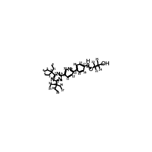 CCC(CC)(CC)c1nc(-c2ccc(-c3ccc(BOC(C)(C)C(C)(C)O)cc3)nc2)nc(C(CC)(CC)CC)n1